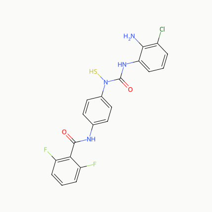 Nc1c(Cl)cccc1NC(=O)N(S)c1ccc(NC(=O)c2c(F)cccc2F)cc1